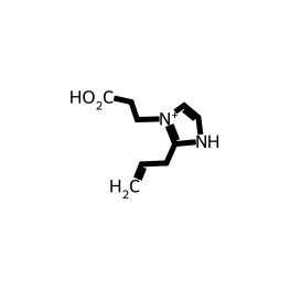 C=CCc1[nH]cc[n+]1CCC(=O)O